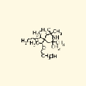 CCOC(C)C1(C(C)OCC)CC(C)(C)NC(C)(C)C1.Cl